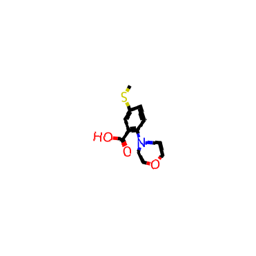 CSc1ccc(N2CCOCC2)c(C(=O)O)c1